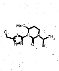 COC1CCN(C(C)Br)C(=O)N1c1nnc(CCl)s1